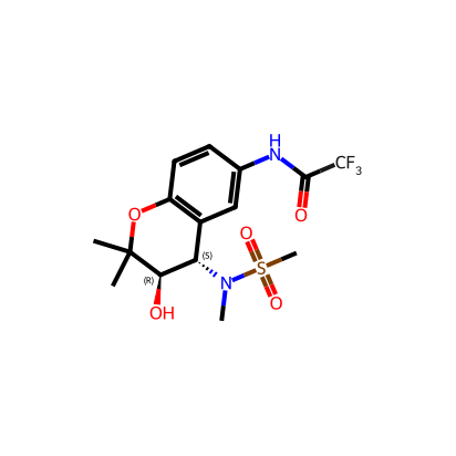 CN([C@H]1c2cc(NC(=O)C(F)(F)F)ccc2OC(C)(C)[C@@H]1O)S(C)(=O)=O